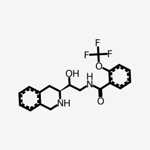 O=C(NCC(O)[C@@H]1Cc2ccccc2CN1)c1ccccc1OC(F)(F)F